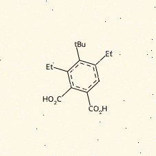 CCc1cc(C(=O)O)c(C(=O)O)c(CC)c1C(C)(C)C